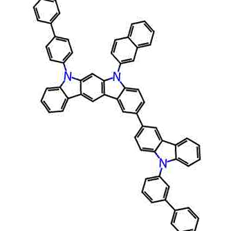 c1ccc(-c2ccc(-n3c4ccccc4c4cc5c6cc(-c7ccc8c(c7)c7ccccc7n8-c7cccc(-c8ccccc8)c7)ccc6n(-c6ccc7ccccc7c6)c5cc43)cc2)cc1